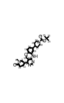 Cn1cc(-c2ncnc3c2COc2ccc(C4CCN(C(=O)OC(C)(C)C)CC4)cc2N3)ccc1=O